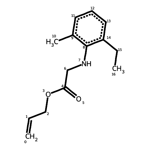 C=CCOC(=O)CNc1c(C)cccc1CC